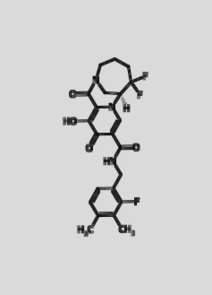 Cc1ccc(CNC(=O)c2cn3c(c(O)c2=O)C(=O)N2CCCC(F)(F)[C@@H]3C2)c(F)c1C